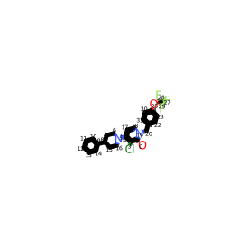 O=c1c(Cl)c(N2CCC(c3ccccc3)CC2)ccn1Cc1ccc(OC(F)(F)F)cc1